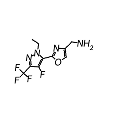 CCn1nc(C(F)(F)F)c(F)c1-c1nc(CN)co1